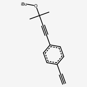 C#Cc1ccc(C#CC(C)(C)OC(C)CC)cc1